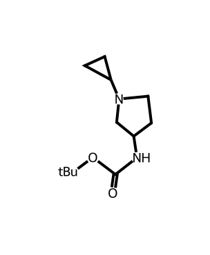 CC(C)(C)OC(=O)NC1CCN(C2CC2)C1